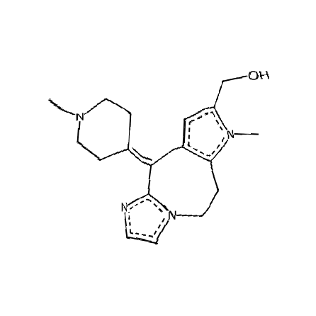 CN1CCC(=C2c3cc(CO)n(C)c3CCn3ccnc32)CC1